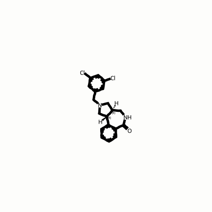 O=C1NC[C@@H]2CN(Cc3cc(Cl)cc(Cl)c3)C[C@H]2c2ccccc21